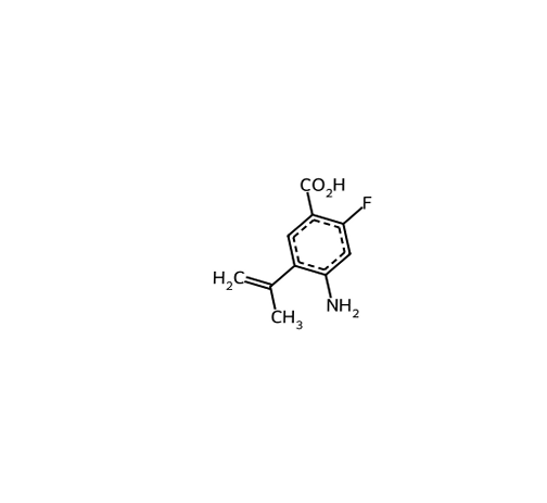 C=C(C)c1cc(C(=O)O)c(F)cc1N